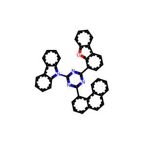 c1ccc2c(c1)ccc1cccc(-c3nc(-c4cccc5c4oc4ccccc45)nc(-n4c5ccccc5c5ccccc54)n3)c12